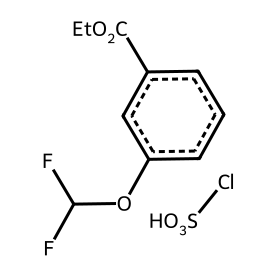 CCOC(=O)c1cccc(OC(F)F)c1.O=S(=O)(O)Cl